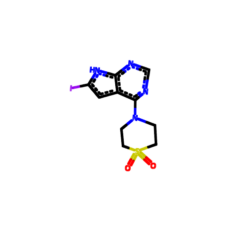 O=S1(=O)CCN(c2ncnc3[nH]c(I)cc23)CC1